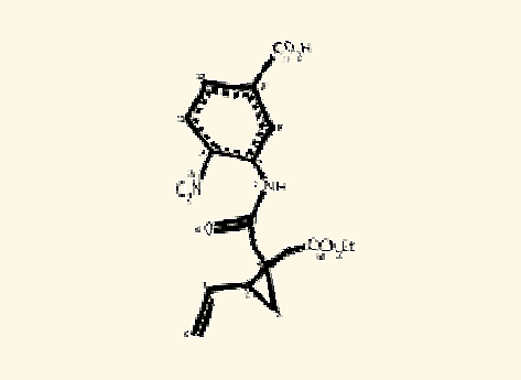 C=CC1CC1(C(=O)Nc1cc(C(=O)O)ccc1[N+](=O)[O-])C(=O)OCC